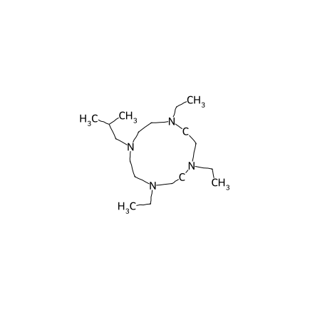 CCN1CCN(CC)CCN(CC(C)C)CCN(CC)CC1